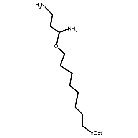 CCCCCCCCCCCCCCCCOC(N)CCN